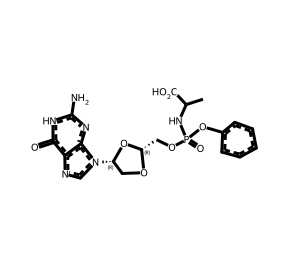 CC(NP(=O)(OC[C@@H]1OC[C@H](n2cnc3c(=O)[nH]c(N)nc32)O1)Oc1ccccc1)C(=O)O